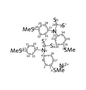 CSc1ccc(N(C(=S)[S-])c2ccc(SC)cc2)cc1.CSc1ccc(N(C(=S)[S-])c2ccc(SC)cc2)cc1.[Ni+2]